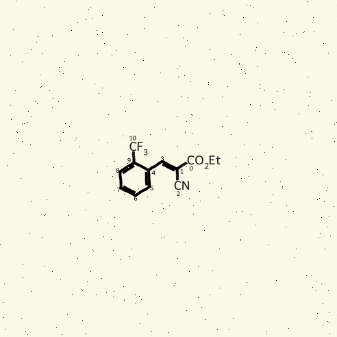 CCOC(=O)/C(C#N)=C/c1ccccc1C(F)(F)F